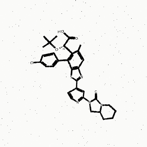 Cc1cc2nc(-c3ccnc(N4CC5CCCCN5C4=O)c3)sc2c(-c2ccc(Cl)cc2)c1[C@H](OC(C)(C)C)C(=O)O